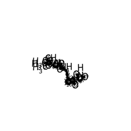 CC1(C)OB(c2ccc(S(=O)(=O)NCCC#Cc3cccc4c3CN(C3CCC(=O)NC3=O)C4=O)nc2)OC1(C)C